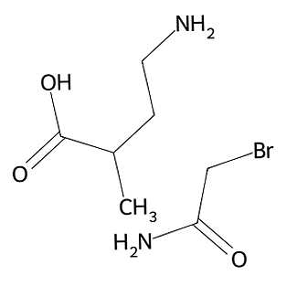 CC(CCN)C(=O)O.NC(=O)CBr